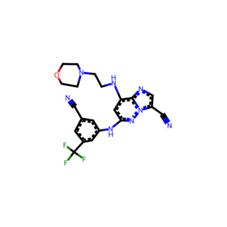 N#Cc1cc(Nc2cc(NCCN3CCOCC3)c3ncc(C#N)n3n2)cc(C(F)(F)F)c1